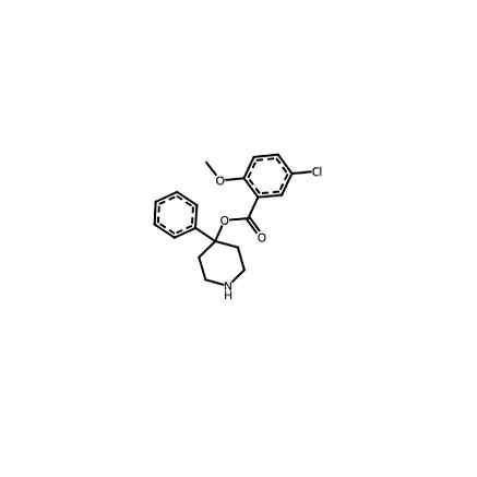 COc1ccc(Cl)cc1C(=O)OC1(c2ccccc2)CCNCC1